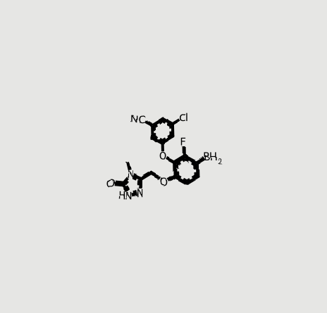 Bc1ccc(OCc2n[nH]c(=O)n2C)c(Oc2cc(Cl)cc(C#N)c2)c1F